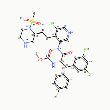 COC(=O)N[C@H](C(=O)Nc1cncc(F)c1CC[C@H]1CNCCN1S(C)(=O)=O)[C@@H](c1ccc(F)cc1)c1cc(F)cc(F)c1